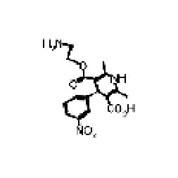 CC1=C(C(=O)O)[C@@H](c2cccc([N+](=O)[O-])c2)C(C(=O)OCCN)=C(C)N1